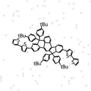 CC(C)(C)c1ccc(C2(c3ccc(C(C)(C)C)cc3)c3cc(-c4ccc(-c5cccs5)s4)ccc3-c3cc4c(c5cccc2c35)C2C=CC(c3ccc(-c5cccs5)s3)=CC2C4(c2ccc(C(C)(C)C)cc2)c2ccc(C(C)(C)C)cc2)cc1